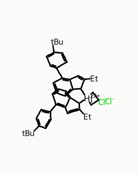 CCC1=Cc2c(-c3ccc(C(C)(C)C)cc3)cccc2[CH]1[Hf+2]1([CH]2C(CC)=Cc3c(-c4ccc(C(C)(C)C)cc4)cccc32)[CH2]C[CH2]1.[Cl-].[Cl-]